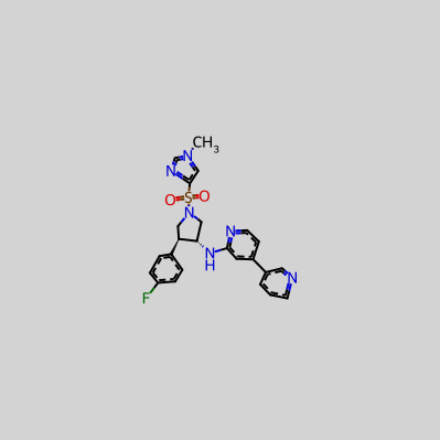 Cn1cnc(S(=O)(=O)N2C[C@H](Nc3cc(-c4cccnc4)ccn3)[C@@H](c3ccc(F)cc3)C2)c1